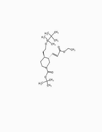 CCOC(=O)/C=C/[C@@H]1CN(C(=O)OC(C)(C)C)CC[C@H]1CCO[Si](C)(C)C(C)(C)C